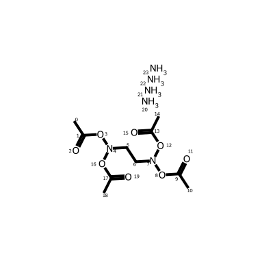 CC(=O)ON(CCN(OC(C)=O)OC(C)=O)OC(C)=O.N.N.N.N